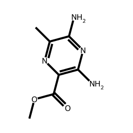 COC(=O)c1nc(C)c(N)nc1N